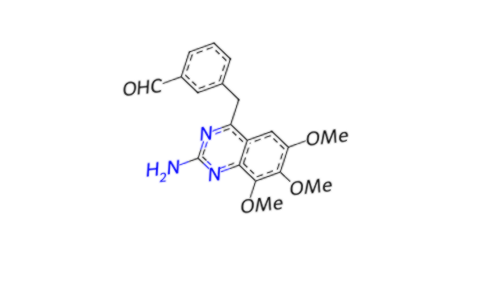 COc1cc2c(Cc3cccc(C=O)c3)nc(N)nc2c(OC)c1OC